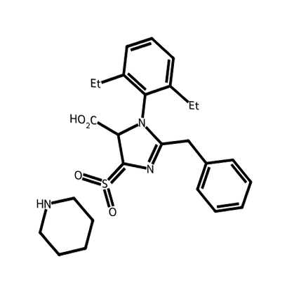 C1CCNCC1.CCc1cccc(CC)c1N1C(Cc2ccccc2)=NC(=S(=O)=O)C1C(=O)O